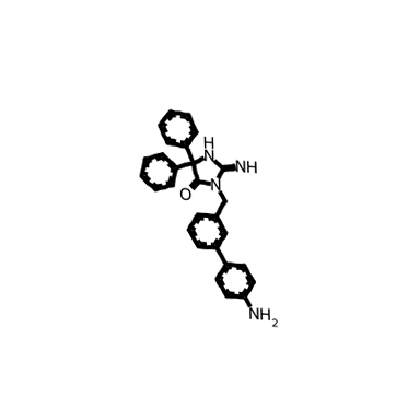 N=C1NC(c2ccccc2)(c2ccccc2)C(=O)N1Cc1cccc(-c2ccc(N)cc2)c1